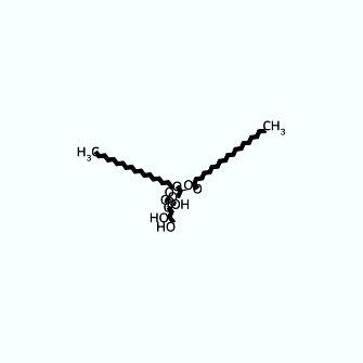 CCCCCCCCCCCCCCCCCCCC(=O)OC[C@H](COP(=O)(O)OC[C@@H](O)CO)OC(=O)CCCCCCCCCCCCCCCCC